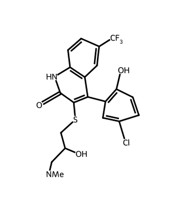 CNCC(O)CSc1c(-c2cc(Cl)ccc2O)c2cc(C(F)(F)F)ccc2[nH]c1=O